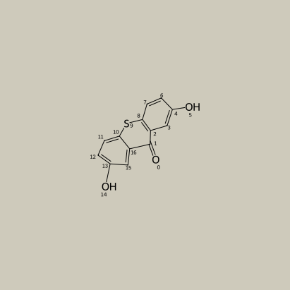 O=c1c2cc(O)ccc2sc2ccc(O)cc12